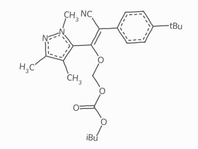 CCC(C)OC(=O)OCO/C(=C(/C#N)c1ccc(C(C)(C)C)cc1)c1c(C)c(C)nn1C